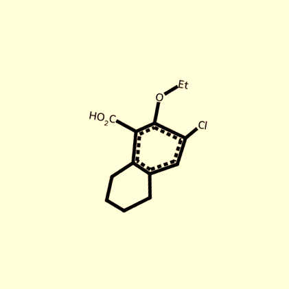 CCOc1c(Cl)cc2c(c1C(=O)O)CCCC2